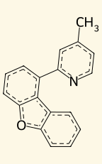 Cc1ccnc(-c2cccc3oc4ccccc4c23)c1